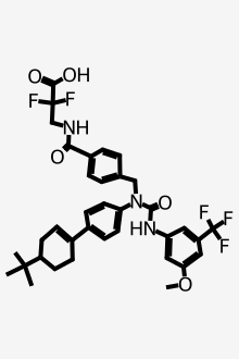 COc1cc(NC(=O)N(Cc2ccc(C(=O)NCC(F)(F)C(=O)O)cc2)c2ccc(C3=CCC(C(C)(C)C)CC3)cc2)cc(C(F)(F)F)c1